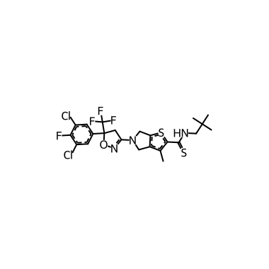 Cc1c(C(=S)NCC(C)(C)C)sc2c1CN(C1=NOC(c3cc(Cl)c(F)c(Cl)c3)(C(F)(F)F)C1)C2